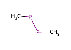 C[P][P]C